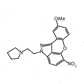 COc1ccc2c(c1)-c1nn(CCN3CCCC3)c3ccc([N+](=O)[O-])c(c13)O2